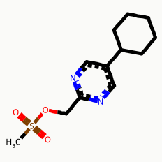 CS(=O)(=O)OCc1ncc(C2CCCCC2)cn1